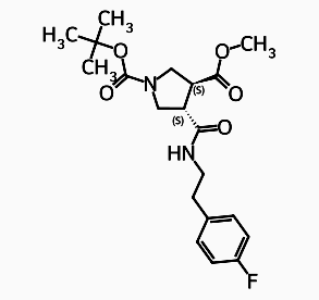 COC(=O)[C@@H]1CN(C(=O)OC(C)(C)C)C[C@H]1C(=O)NCCc1ccc(F)cc1